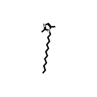 CCCCCCCCCCCCn1c(C)cnc1C